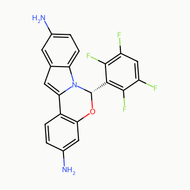 Nc1ccc2c(c1)O[C@@H](c1c(F)c(F)cc(F)c1F)n1c-2cc2cc(N)ccc21